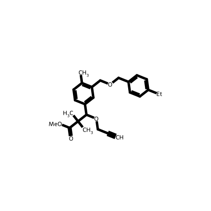 C#CCOC(c1ccc(C)c(COCc2ccc(CC)cc2)c1)C(C)(C)C(=O)OC